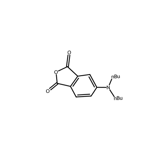 CCCCN(CCCC)c1ccc2c(c1)C(=O)OC2=O